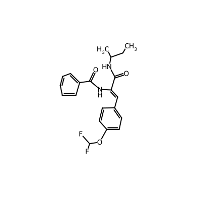 CCC(C)NC(=O)/C(=C/c1ccc(OC(F)F)cc1)NC(=O)c1ccccc1